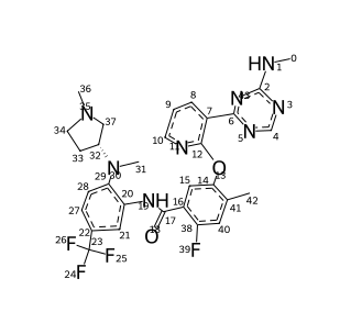 CNc1ncnc(-c2cccnc2Oc2cc(C(=O)Nc3cc(C(F)(F)F)ccc3N(C)[C@@H]3CCN(C)C3)c(F)cc2C)n1